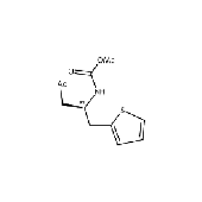 COC(=O)N[C@H](CC(C)=O)Cc1cccs1